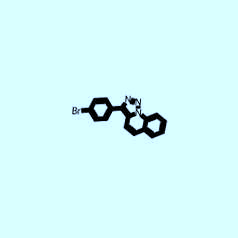 Brc1ccc(-c2nnn3c2ccc2ccccc23)cc1